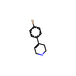 Brc1ccc(C2=CC[N]CC2)cc1